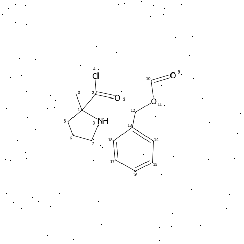 CC1(C(=O)Cl)CCCN1.O=COCc1ccccc1